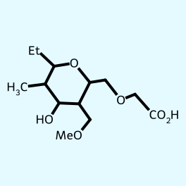 CCC1OC(COCC(=O)O)C(COC)C(O)C1C